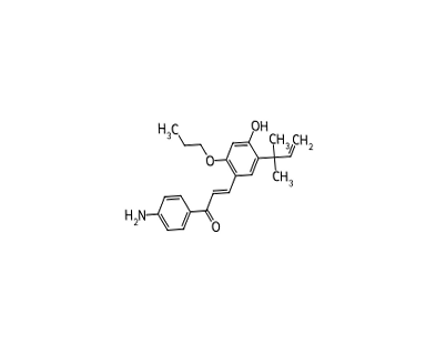 C=CC(C)(C)c1cc(C=CC(=O)c2ccc(N)cc2)c(OCCC)cc1O